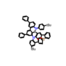 CC(C)(C)c1ccc(N2B3c4cc5c(cc4N(c4ccc(C(C)(C)C)cc4-c4ccccc4)c4cc(-c6ccccc6)cc(c43)-c3cc(-c4ccccc4)ccc32)sc2ccccc25)cc1